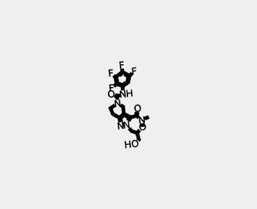 CN1OC(CO)Cn2nc3c(c2C1=O)CN(C(=O)Nc1cc(F)c(F)c(F)c1F)CC3